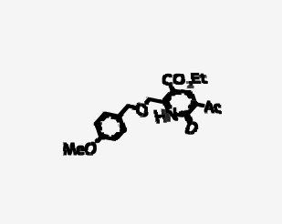 CCOC(=O)c1cc(C(C)=O)c(=O)[nH]c1COCc1ccc(OC)cc1